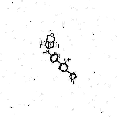 CN(c1ccc(-c2ccc(-c3ccn(C)n3)cc2O)nn1)[C@H]1C[C@@H]2COC[C@@H](N2)[C@H]1F